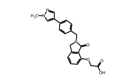 Cn1cc(-c2ccc(CN3Cc4cccc(OCC(=O)O)c4C3=O)cc2)cn1